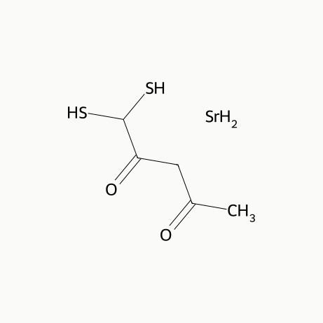 CC(=O)CC(=O)C(S)S.[SrH2]